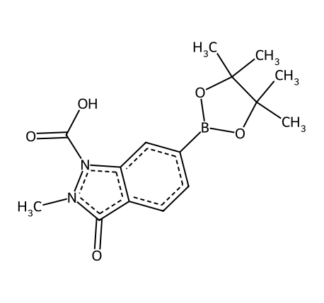 Cn1c(=O)c2ccc(B3OC(C)(C)C(C)(C)O3)cc2n1C(=O)O